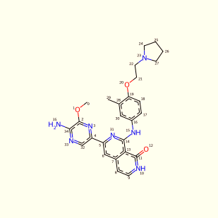 COc1nc(-c2cc3cc[nH]c(=O)c3c(Nc3ccc(OCCN4CCCC4)c(C)c3)n2)cnc1N